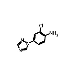 Nc1ccc(-n2cncn2)cc1Cl